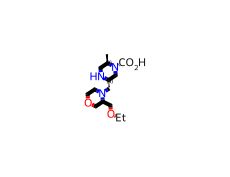 CCOCC1COCCN1C[C@H]1CN(C(=O)O)[C@H](C)CN1